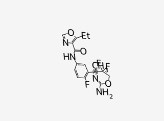 CCc1ocnc1C(=O)Nc1ccc(F)c([C@@]2(C)N=C(N)OCC2(F)F)c1